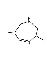 CC1C=NC(C)CNC1